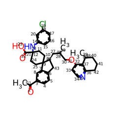 CC(=O)c1ccc2c(c1)C1(CCC(Nc3cccc(Cl)c3)(C(=O)O)CC1)[C@@H](C[C@@H](C)COc1ccnc3c1[C@H](C)CCC3)C2